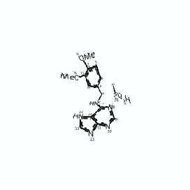 COc1ccc(CNc2ncnc3nc[nH]c23)cc1OC.CS(=O)(=O)O